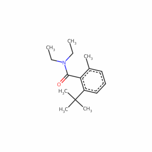 CCN(CC)C(=O)c1c(C)cccc1C(C)(C)C